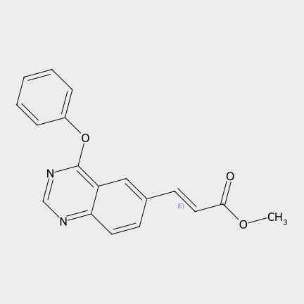 COC(=O)/C=C/c1ccc2ncnc(Oc3ccccc3)c2c1